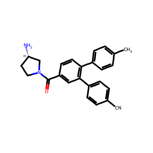 Cc1ccc(-c2ccc(C(=O)N3CC[C@H](N)C3)cc2-c2ccc(C#N)cc2)cc1